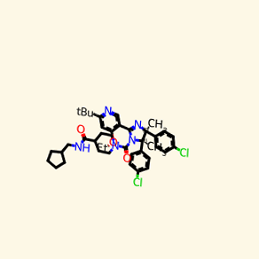 CCOc1cc(C(C)(C)C)ncc1C1=N[C@@](C)(c2ccc(Cl)cc2)[C@@](C)(c2ccc(Cl)cc2)N1C(=O)N1CCC(C(=O)NCC2CCCC2)CC1